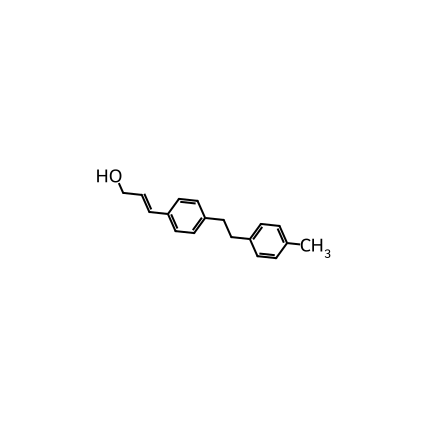 Cc1ccc(CCc2ccc(C=CCO)cc2)cc1